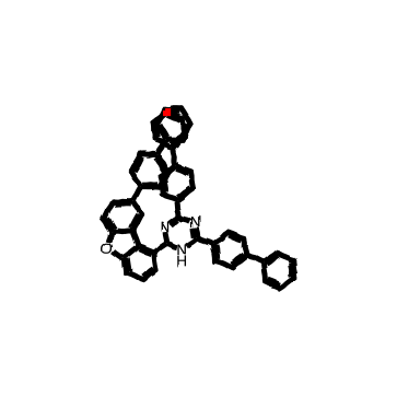 c1ccc(-c2ccc(C3=NC(c4cccc5oc6ccc(-c7ccc(-c8ccccc8)cc7)cc6c45)NC(c4ccc(-c5ccccc5)cc4)=N3)cc2)cc1